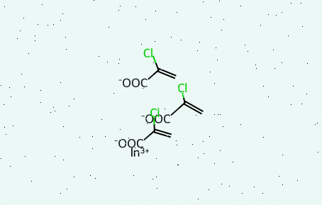 C=C(Cl)C(=O)[O-].C=C(Cl)C(=O)[O-].C=C(Cl)C(=O)[O-].[In+3]